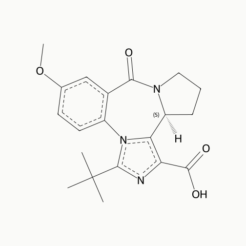 COc1ccc2c(c1)C(=O)N1CCC[C@H]1c1c(C(=O)O)nc(C(C)(C)C)n1-2